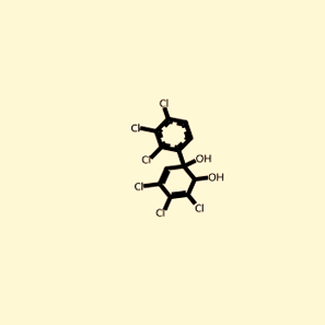 OC1C(Cl)=C(Cl)C(Cl)=CC1(O)c1ccc(Cl)c(Cl)c1Cl